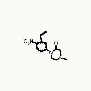 C=Cc1cc(N2CCN(C)CC2=O)ccc1[N+](=O)[O-]